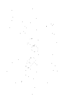 N#CN1CCC(C(=O)Nc2cc(-c3cnc4nccn4c3)ccn2)C1